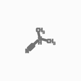 C[SiH](C)C#N